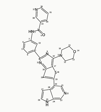 O=C(Nc1cccc(-c2nc(N3CCOCC3)c3sc(-c4cncc5[nH]ccc45)cc3n2)c1)c1cccnc1